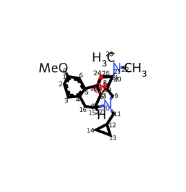 COc1ccc2c(c1)[C@]13CCN(CC4CC4)[C@H](C2)[C@]12CC[C@@](N(C)C)(CO2)C3